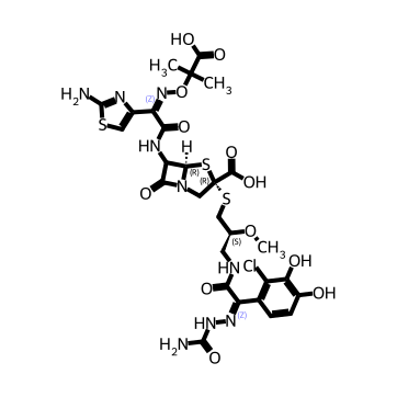 CO[C@@H](CNC(=O)/C(=N\NC(N)=O)c1ccc(O)c(O)c1Cl)CS[C@]1(C(=O)O)CN2C(=O)C(NC(=O)/C(=N\OC(C)(C)C(=O)O)c3csc(N)n3)[C@H]2S1